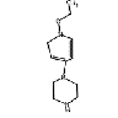 CCON1C=CC(N2CCNCC2)=CC1